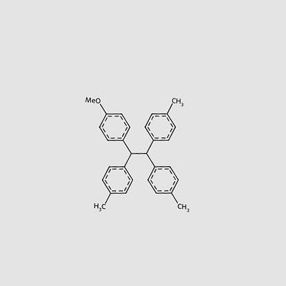 COc1ccc(C(c2ccc(C)cc2)C(c2ccc(C)cc2)c2ccc(C)cc2)cc1